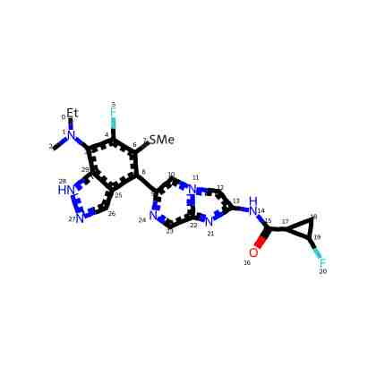 CCN(C)c1c(F)c(SC)c(-c2cn3cc(NC(=O)C4CC4F)nc3cn2)c2cn[nH]c12